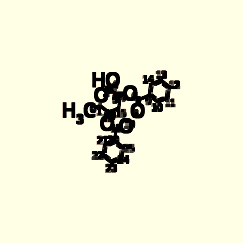 CC1O[C@@H](O)[C@H](OC(=O)c2ccccc2)C[C@@H]1OC(=O)c1ccccc1